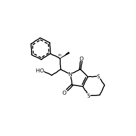 C[C@H](c1ccccc1)C(CO)N1C(=O)C2=C(SCCS2)C1=O